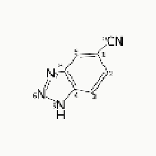 N#Cc1ccc2[nH]nnc2c1